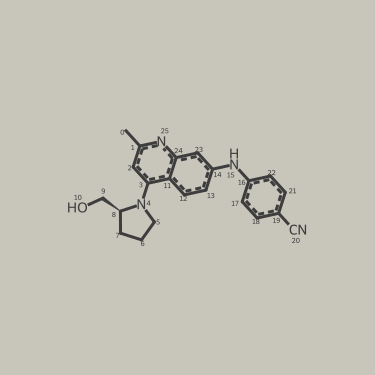 Cc1cc(N2CCC[C@H]2CO)c2ccc(Nc3ccc(C#N)cc3)cc2n1